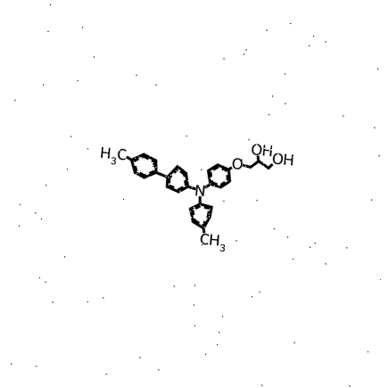 Cc1ccc(-c2ccc(N(c3ccc(C)cc3)c3ccc(OCC(O)CO)cc3)cc2)cc1